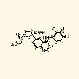 COC1(c2ccc3ncnc(Nc4ccc(Cl)c(Cl)c4F)c3c2)CCN(C(=O)OC(C)(C)C)C1